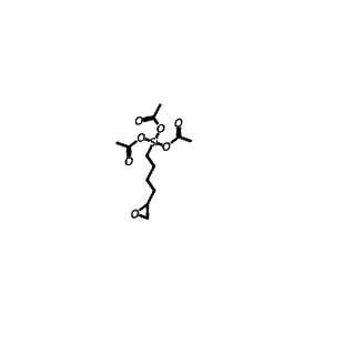 CC(=O)O[Si](CCCCC1CO1)(OC(C)=O)OC(C)=O